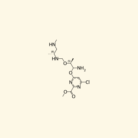 CNC[C@@H](C)NCO[C@@H](C)C(N)Oc1cc(Cl)nc(C(=O)OC)n1